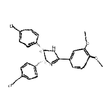 COc1ccc(C2=N[C@H](c3ccc(Cl)cc3)[C@H](c3ccc(Cl)cc3)N2)cc1OC